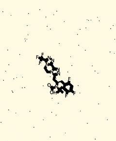 CC(C)(C)N(C(=O)O)[C@H](Cc1cc(F)c(F)cc1F)Cc1nnc2n1CCn1c-2nnc1C(F)(F)F